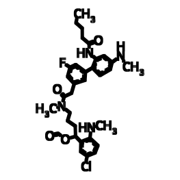 CCCCC(=O)Nc1cc(NC)ccc1-c1cc(F)cc(CC(=O)N(C)CCCC(OC=O)c2cc(Cl)ccc2NC)c1